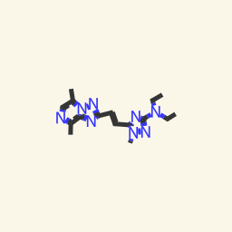 CCN(CC)c1nc(C=Cc2nc3c(C)ncc(C)n3n2)n(C)n1